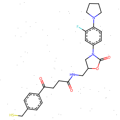 O=C(CCC(=O)c1ccc(CS)cc1)NCC1CN(c2ccc(N3CCCC3)c(F)c2)C(=O)O1